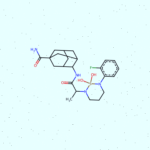 CC(C(=O)NC1C2CC3CC1CC(C(N)=O)(C3)C2)N1CCCN(c2ccccc2F)S1(O)O